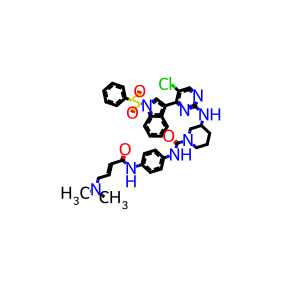 CN(C)C/C=C/C(=O)Nc1ccc(NC(=O)N2CCCC(Nc3ncc(Cl)c(-c4cn(S(=O)(=O)c5ccccc5)c5ccccc45)n3)C2)cc1